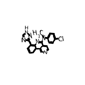 CN(c1ccc(Cl)cc1)c1nc2c(-c3nc[nH]n3)cccc2c2cnccc12